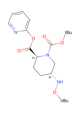 CCCCON[C@@H]1CC[C@@H](C(=O)Oc2ccccn2)N(C(=O)OC(C)(C)C)C1